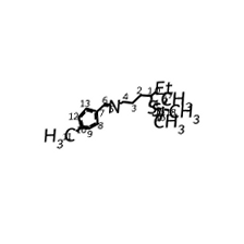 CCC(CCCN=Cc1ccc(C)cc1)S[Si](C)(C)C